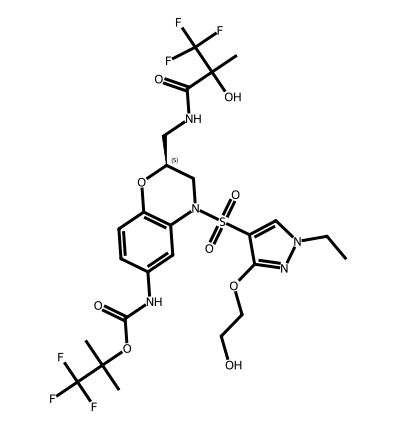 CCn1cc(S(=O)(=O)N2C[C@H](CNC(=O)C(C)(O)C(F)(F)F)Oc3ccc(NC(=O)OC(C)(C)C(F)(F)F)cc32)c(OCCO)n1